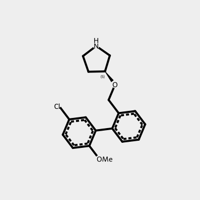 COc1ccc(Cl)cc1-c1ccccc1CO[C@H]1CCNC1